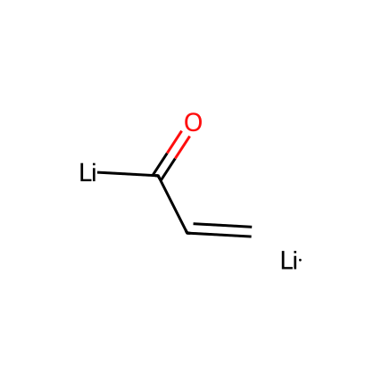 [Li].[Li][C](=O)C=C